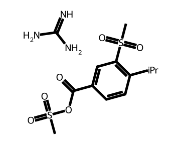 CC(C)c1ccc(C(=O)OS(C)(=O)=O)cc1S(C)(=O)=O.N=C(N)N